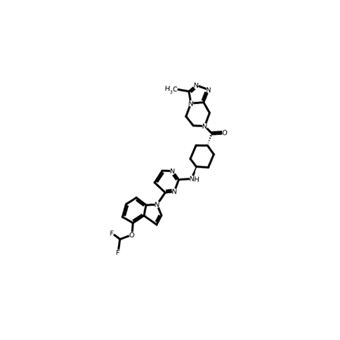 Cc1nnc2n1CCN(C(=O)[C@H]1CC[C@H](Nc3nccc(-n4ccc5c(OC(F)F)cccc54)n3)CC1)C2